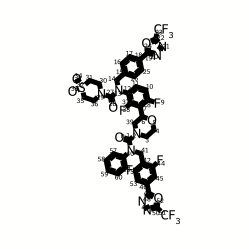 O=C(N1CCOC(c2c(F)ccc(N(Cc3ccc(-c4nnc(C(F)(F)F)o4)cc3)C(=O)N3CCS(=O)(=O)CC3)c2F)C1)N(Cc1c(F)cc(-c2nnc(C(F)(F)F)o2)cc1F)c1ccccc1